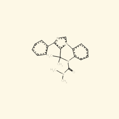 CN(C)C(=O)N1c2ccccc2-n2cnc(-c3ccccc3)c2C1(C)C